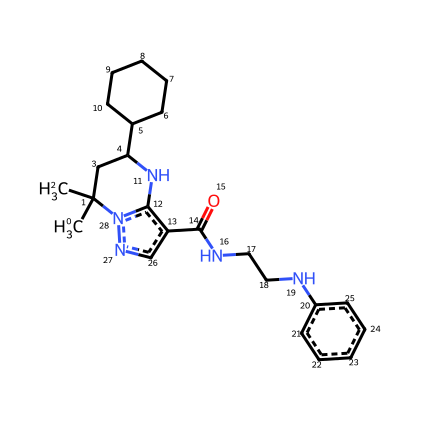 CC1(C)CC(C2CCCCC2)Nc2c(C(=O)NCCNc3ccccc3)cnn21